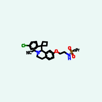 CCCS(=O)(=O)NCCOc1ccc2c(c1)C(C1(c3ccc(Cl)cc3)CCC1)N(CC#N)CC2